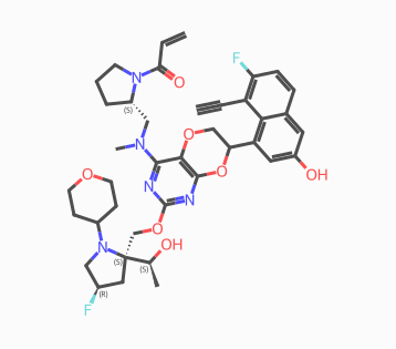 C#Cc1c(F)ccc2cc(O)cc(C3COc4c(nc(OC[C@]5([C@H](C)O)C[C@@H](F)CN5C5CCOCC5)nc4N(C)C[C@@H]4CCCN4C(=O)C=C)O3)c12